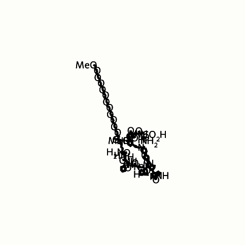 COCCOCCOCCOCCOCCOCCOCCOCCOCCOCCOCCOCCC(=O)NCCCC[C@H](N)C(=O)NCC(=O)N[C@@H](Cc1ccccc1)C(=O)NCC(=O)NCOC[C@](OC1CC1)(c1ccccc1)c1nc(N2CCC(N3CCC(C)(NCC#Cc4ccc(OC)c(-n5ccc(=O)n(CNC(=O)[C@@H](CC(N)=O)CC(=O)O)c5=O)c4)CC3)CC2)nc2ccc(-c3cn(C)c(=O)c4[nH]ccc34)cc12